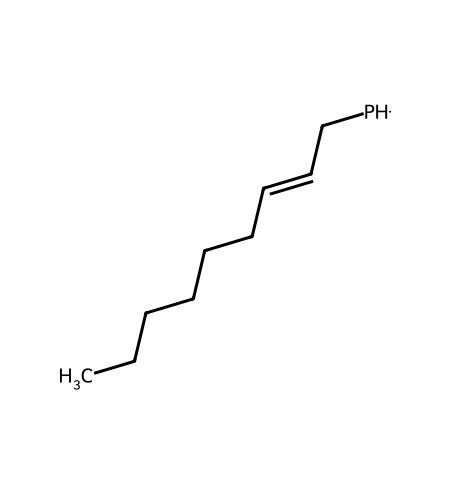 CCCCCC/C=C/C[PH]